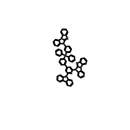 c1ccc([Si](c2ccccc2)(c2cccc(-c3cc(-n4c5ccccc5c5ccccc54)nc(-n4c5ccccc5n5c6ccccc6nc45)c3)c2)c2cccc(-n3c4ccccc4n4c5ccccc5nc34)c2)cc1